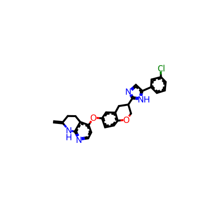 C=C1CCc2c(Oc3ccc4c(c3)CC(c3ncc(-c5cccc(Cl)c5)[nH]3)CO4)ccnc2N1